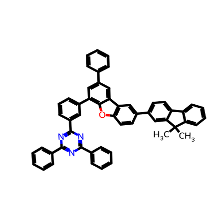 CC1(C)c2ccccc2-c2ccc(-c3ccc4oc5c(-c6cccc(-c7nc(-c8ccccc8)nc(-c8ccccc8)n7)c6)cc(-c6ccccc6)cc5c4c3)cc21